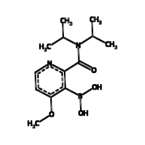 COc1ccnc(C(=O)N(C(C)C)C(C)C)c1B(O)O